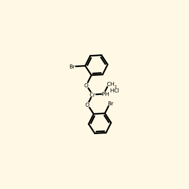 C[PH][Cr]([O]c1ccccc1Br)[O]c1ccccc1Br.Cl